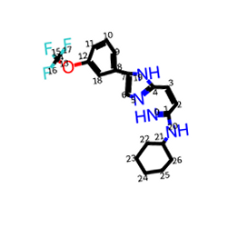 N=C(/C=C\c1ncc(-c2cccc(OC(F)(F)F)c2)[nH]1)NC1CCCCC1